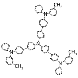 Cc1cccc(N(c2ccccc2)c2ccc(-c3ccc(N(c4ccc(-c5ccc(N(c6ccccc6)c6cccc(C)c6)cc5)cc4)c4ccc(-c5ccc(N(c6ccccc6)c6cccc(C)c6)cc5)cc4)cc3)cc2)c1